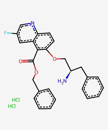 Cl.Cl.N[C@@H](COc1ccc2ncc(F)cc2c1C(=O)OCc1ccccc1)Cc1ccccc1